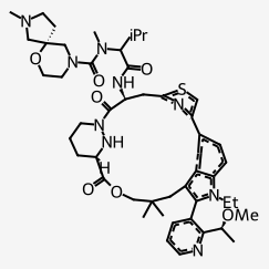 CCn1c(-c2cccnc2[C@H](C)OC)c2c3cc(ccc31)-c1csc(n1)C[C@H](NC(=O)C(C(C)C)N(C)C(=O)N1CCO[C@]3(CCN(C)C3)C1)C(=O)N1CCC[C@H](N1)C(=O)OCC(C)(C)C2